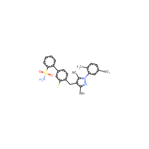 CCCCc1nn(-c2cc([N+](=O)[O-])ccc2C(F)(F)F)c(C#N)c1Cc1ccc(-c2ccccc2S(N)(=O)=O)cc1F